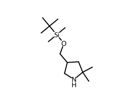 CC1(C)CC(CO[Si](C)(C)C(C)(C)C)CN1